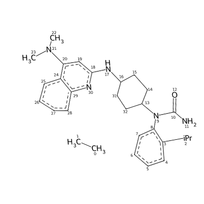 CC.CC(C)c1ccccc1N(C(N)=O)C1CCC(Nc2cc(N(C)C)c3ccccc3n2)CC1